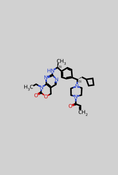 C=CC(=O)N1CCN([C@@H](CC2CCC2)c2ccc([C@H](C)Nc3ncc4c(n3)N(CC)C(=O)OC4)cc2)CC1